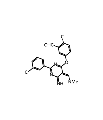 CN/C=C1\C(=N)N=C(c2cccc(Cl)c2)N=C1Oc1ccc(Cl)c(C=O)c1